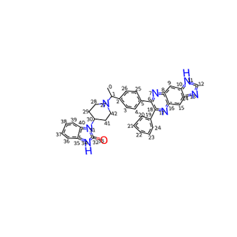 CC(c1ccc(-c2nc3cc4[nH]cnc4cc3nc2-c2ccccc2)cc1)N1CCC(n2c(=O)[nH]c3ccccc32)CC1